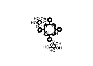 OC[C@H]1O[C@@H](Oc2cccc(-c3c4nc(c(-c5cccc(O[C@@H]6O[C@H](CO)[C@@H](O)[C@H](O)[C@H]6O)c5)c5ccc([nH]5)c(-c5ccccc5)c5nc(c(-c6ccccc6)c6ccc3[nH]6)C=C5)CC4)c2)[C@H](O)[C@@H](O)[C@@H]1O